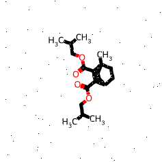 CC(C)COC(=O)C1=C(C(=O)OCC(C)C)C2(C)CCC1CC2